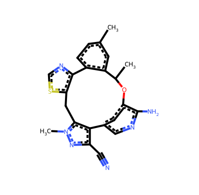 Cc1ccc2c(c1)C(C)Oc1cc(cnc1N)-c1c(C#N)nn(C)c1Cc1scnc1-2